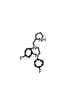 Fc1ccc(N2CCN(CC3CCCN3)c3ccc(F)cc32)cc1